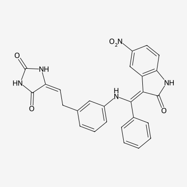 O=C1NC(=O)C(=CCc2cccc(NC(=C3C(=O)Nc4ccc([N+](=O)[O-])cc43)c3ccccc3)c2)N1